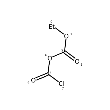 CCOC(=O)OC(=O)Cl